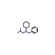 CC(C)CN(Cc1ccccc1)C1CCCCC1